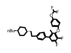 CCCC[C@H]1CC[C@H](CCc2ccc(-c3cc(F)c(F)c(Oc4ccc(OC(F)F)cc4)c3C)cc2)CC1